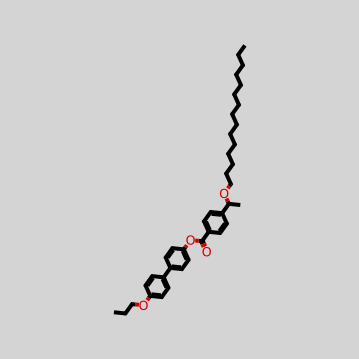 CCCCCCCCCCCCCCCOC(C)c1ccc(C(=O)Oc2ccc(-c3ccc(OCCC)cc3)cc2)cc1